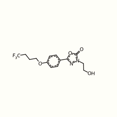 O=c1oc(-c2ccc(OCCCC(F)(F)F)cc2)nn1CCO